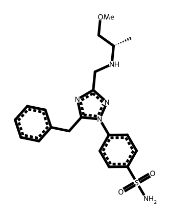 COC[C@H](C)NCc1nc(Cc2ccccc2)n(-c2ccc(S(N)(=O)=O)cc2)n1